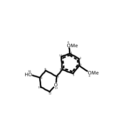 COc1cc(OC)cc(C2CC(O)CCO2)c1